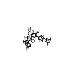 Cc1cc(F)c(-c2cnc(NCC(F)F)nc2)cc1NC(=O)c1cnn2cc(F)ccc12